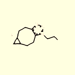 CCCn1nnc2c1CC[C@H]1C[C@H]1CC2